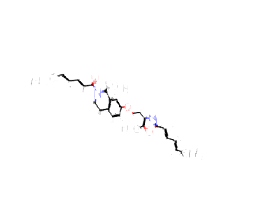 CC=CC=CC(=O)N1CCc2ccc(OCCc3nc(C=CC=CC)oc3C)cc2C1C(=O)O